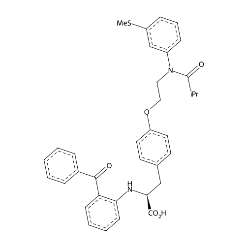 CSc1cccc(N(CCOc2ccc(C[C@H](Nc3ccccc3C(=O)c3ccccc3)C(=O)O)cc2)C(=O)C(C)C)c1